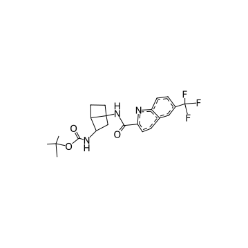 CC(C)(C)OC(=O)NC1CC2(NC(=O)c3ccc4cc(C(F)(F)F)ccc4n3)CCC12